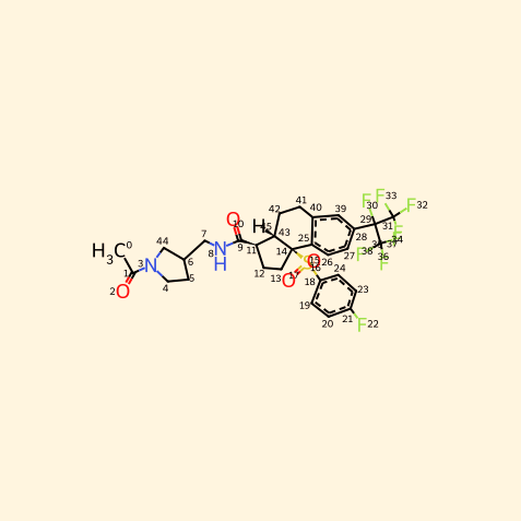 CC(=O)N1CCC(CNC(=O)[C@@H]2CC[C@@]3(S(=O)(=O)c4ccc(F)cc4)c4ccc(C(F)(C(F)(F)F)C(F)(F)F)cc4CC[C@@H]23)C1